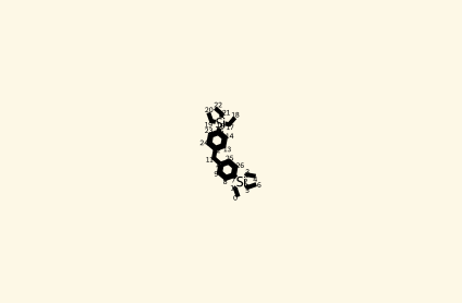 CC[Si](CC)(CC)c1ccc(Cc2ccc([Si](CC)(CC)CC)cc2)cc1